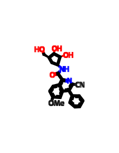 COc1ccc2c(C(=O)N[C@H]3C[C@@H](CO)[C@H](O)[C@@H]3O)nc(C#N)c(-c3ccccc3)c2c1